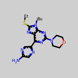 CCSc1nc2c(-c3cnc(N)cn3)nc(N3CCOCC3)nc2n1C(C)CC